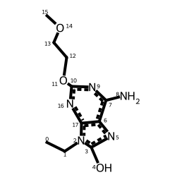 CCn1c(O)nc2c(N)nc(OCCOC)nc21